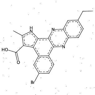 CCc1ccc2nc3c4ccc(Br)cc4c4c(C(=O)O)c(C)[nH]c4c3nc2c1